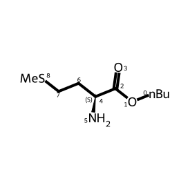 CCCCOC(=O)[C@@H](N)CCSC